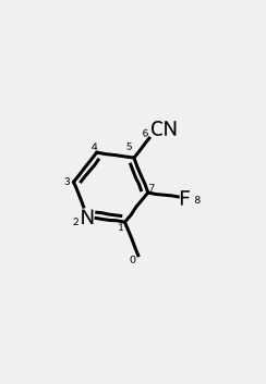 Cc1nccc(C#N)c1F